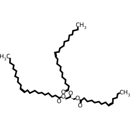 CCCC/C=C\CCCCCCCC(=O)OC[C@H](COC(=O)CCCCCCCCC/C=C\CCCCCCCCCC)OC(=O)CCCCCCCCC/C=C\CCCCCCCCCC